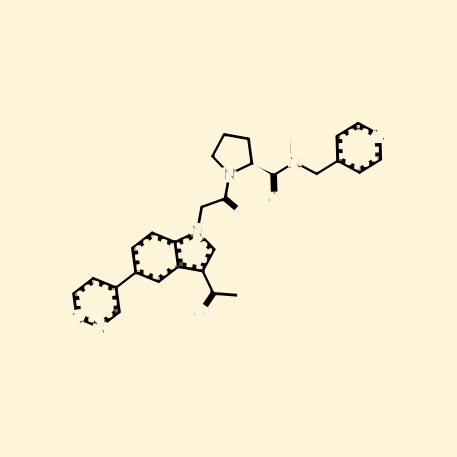 CC(=O)c1cn(CC(=O)N2CCC[C@H]2C(=O)NCc2ccncc2)c2ccc(-c3ccnnc3)cc12